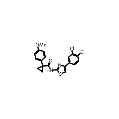 COc1ccc(C2(C(=O)Nc3nc(-c4ccc(Cl)c(Cl)c4)cs3)CC2)cc1